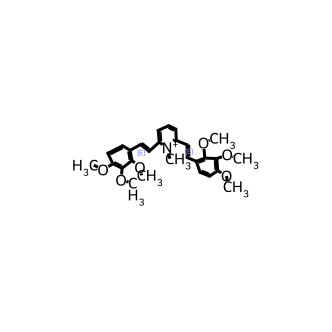 COc1ccc(/C=C/c2cccc(/C=C/c3ccc(OC)c(OC)c3OC)[n+]2C)c(OC)c1OC